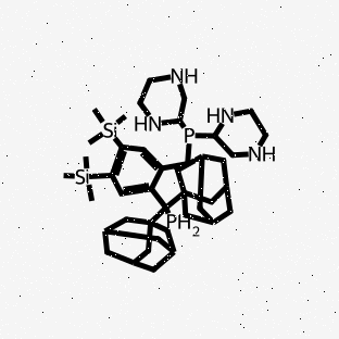 C[Si](C)(C)c1cc(CP(C2CNCCN2)C2CNCCN2)c(C(P)(C23CC4CC(CC(C4)C2)C3)C23CC4CC(CC(C4)C2)C3)cc1[Si](C)(C)C